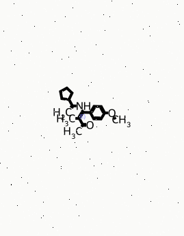 C=C(N/C(=C(\C)C(C)=O)c1ccc(OC)cc1)C1CCCC1